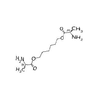 C[C@@H](N)C(=O)OCCCCCCOC(=O)[C@@H](C)N